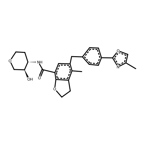 Cc1coc(-c2ccc(Cc3cc(C(=O)N[C@H]4CCOC[C@@H]4O)c4c(c3C)CCO4)cc2)n1